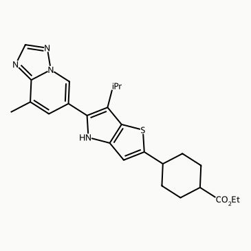 CCOC(=O)C1CCC(c2cc3[nH]c(-c4cc(C)c5ncnn5c4)c(C(C)C)c3s2)CC1